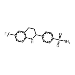 NS(=O)(=O)c1ccc(C2CCc3cc(C(F)(F)F)ccc3N2)cc1